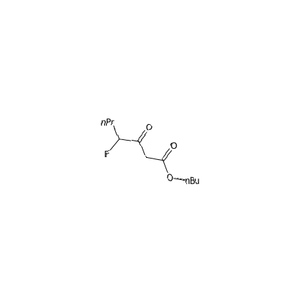 CCCCOC(=O)CC(=O)C(F)CCC